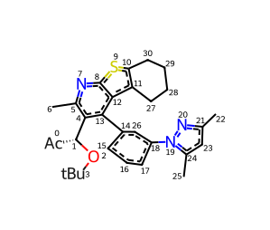 CC(=O)[C@@H](OC(C)(C)C)c1c(C)nc2sc3c(c2c1-c1cccc(-n2nc(C)cc2C)c1)CCCC3